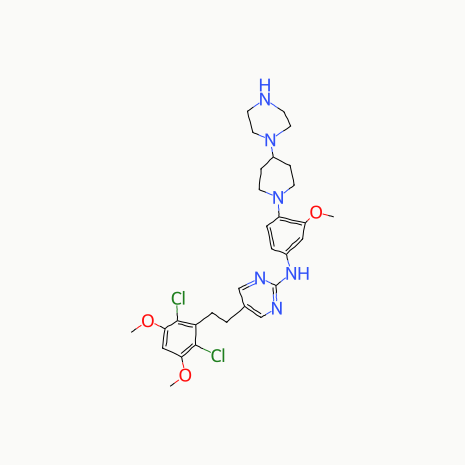 COc1cc(Nc2ncc(CCc3c(Cl)c(OC)cc(OC)c3Cl)cn2)ccc1N1CCC(N2CCNCC2)CC1